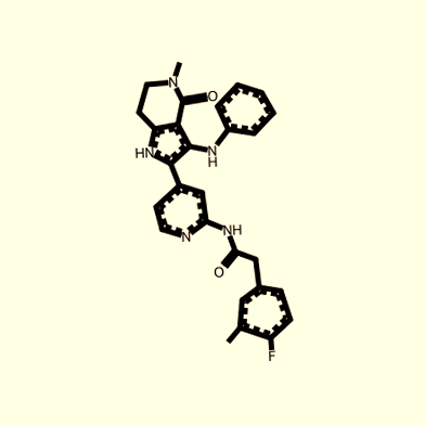 Cc1cc(CC(=O)Nc2cc(-c3[nH]c4c(c3Nc3ccccc3)C(=O)N(C)CC4)ccn2)ccc1F